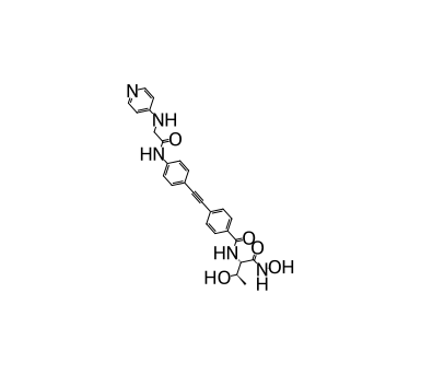 C[C@@H](O)[C@H](NC(=O)c1ccc(C#Cc2ccc(NC(=O)CNc3ccncc3)cc2)cc1)C(=O)NO